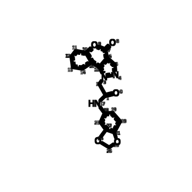 O=C(Cn1ncc2c(=O)oc3ccccc3c21)Nc1ccc2c(c1)OCO2